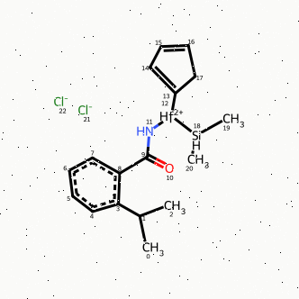 CC(C)c1ccccc1C(=O)[NH][Hf+2]([C]1=CC=CC1)[SiH](C)C.[Cl-].[Cl-]